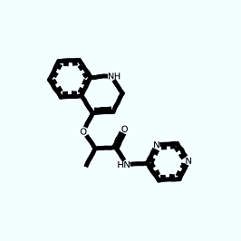 C[C](OC1=CCNc2ccccc21)C(=O)Nc1ccncn1